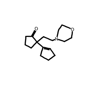 O=C1CCCC1(CCN1CCOCC1)C1=CCCC1